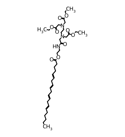 CCCCC/C=C/C/C=C/C/C=C/C/C=C/CCCC(=O)OCCNC(=O)CN(CCN(CC(=O)OCC)CC(=O)OCC)CC(=O)OCC